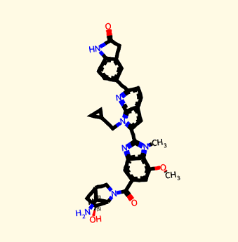 COc1cc(C(=O)N2CC3C[C@H](O)C2[C@@H]3N)cc2nc(-c3cc4ccc(-c5ccc6c(c5)CC(=O)N6)nc4n3CC3CC3)n(C)c12